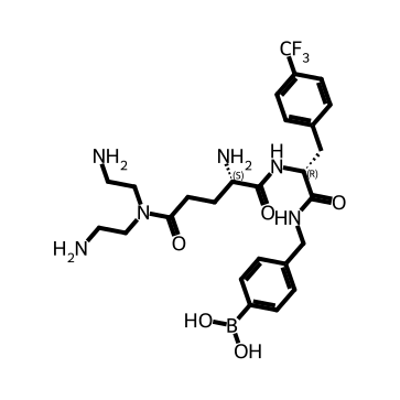 NCCN(CCN)C(=O)CC[C@H](N)C(=O)N[C@H](Cc1ccc(C(F)(F)F)cc1)C(=O)NCc1ccc(B(O)O)cc1